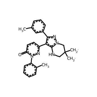 [CH2]C1([CH2])CNc2c(-c3ccc(=O)n(-c4ccccc4C)n3)c(-c3cccc(C)c3)nn2C1